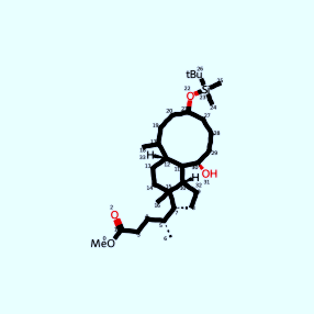 COC(=O)CC[C@@H](C)[C@H]1CC[C@H]2C3[C@H](CCC12C)C(C)CCC(O[Si](C)(C)C(C)(C)C)CCC[C@H]3O